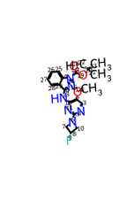 COc1cnc(N2CC(F)C2)nc1Nc1nn(C(=O)OC(C)(C)C)c2ccccc12